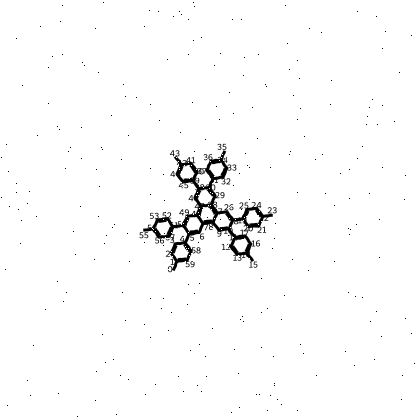 Cc1ccc(-c2cc3c4cc(-c5ccc(C)cc5)c(-c5ccc(C)cc5)cc4c4cc(-c5ccc(C)cc5)c(-c5ccc(C)cc5)cc4c3cc2-c2ccc(C)cc2)cc1